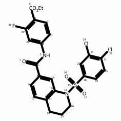 CCOC(=O)c1ccc(NC(=O)c2ccc3c(c2)N(S(=O)(=O)c2ccc(Cl)c(Cl)c2)CCC3)cc1F